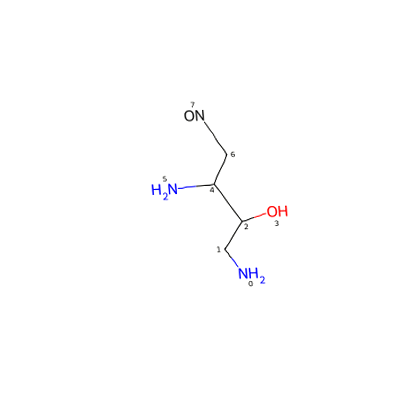 NCC(O)C(N)CN=O